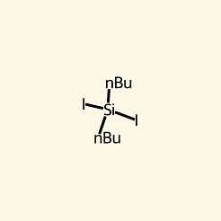 CCCC[Si](I)(I)CCCC